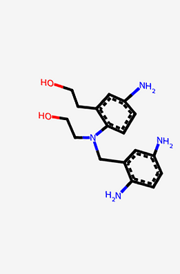 Nc1ccc(N)c(CN(CCO)c2ccc(N)cc2CCO)c1